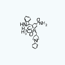 CC1(C)C(=O)N(CC2CCN(c3ccccc3)CC2)c2cc(C(N)=O)cc(-c3c[nH]c4ccccc34)c21